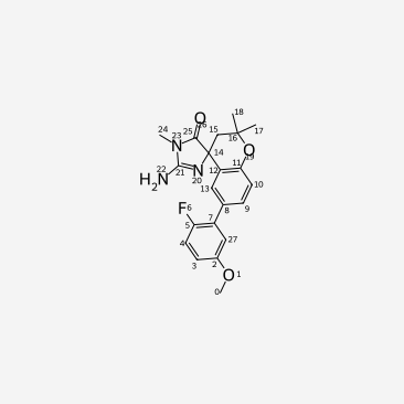 COc1ccc(F)c(-c2ccc3c(c2)C2(CC(C)(C)O3)N=C(N)N(C)C2=O)c1